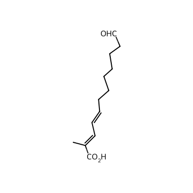 CC(=CC=CCCCCCCC=O)C(=O)O